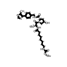 Cc1ncsc1-c1ccc(CNC(=O)[C@@H]2C[C@@H](O)CN2C(=O)[C@@H](NC(=O)CCCCCCCNC(=O)OC(C)(C)C)C(C)(C)C)cc1